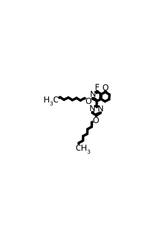 CCCCCCCCOc1cnc(-c2c(OCCCCCCCC)nc(F)c3c2CCCC3=O)nc1